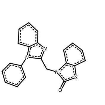 O=c1sc2ccccc2n1Cc1nc2ccccc2n1-c1ccccc1